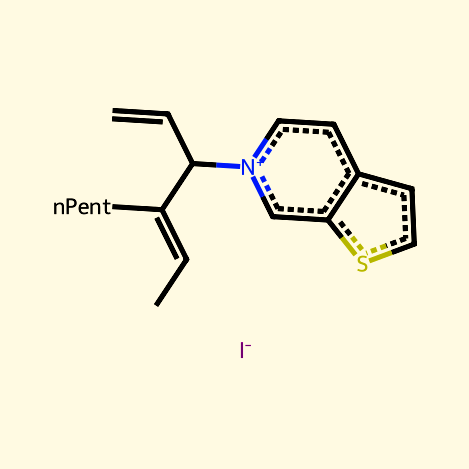 C=CC(C(=CC)CCCCC)[n+]1ccc2ccsc2c1.[I-]